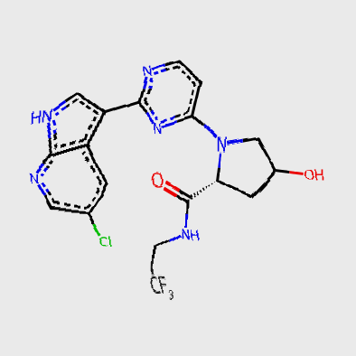 O=C(NCC(F)(F)F)[C@H]1CC(O)CN1c1ccnc(-c2c[nH]c3ncc(Cl)cc23)n1